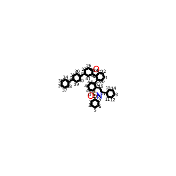 O=S1(c2ccccc2)=NC(c2ccccc2)=Cc2c(-c3cccc4oc5ccc(-c6ccc(-c7ccccc7)cc6)cc5c34)cccc21